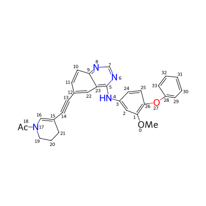 COc1cc(Nc2ncnc3ccc(C#CC4=CN(C(C)=O)CCC4)cc23)ccc1Oc1ccccc1